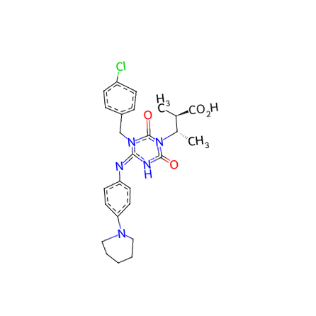 C[C@@H](C(=O)O)[C@H](C)n1c(=O)[nH]/c(=N\c2ccc(N3CCCCC3)cc2)n(Cc2ccc(Cl)cc2)c1=O